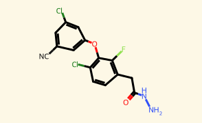 N#Cc1cc(Cl)cc(Oc2c(Cl)ccc(CC(=O)NN)c2F)c1